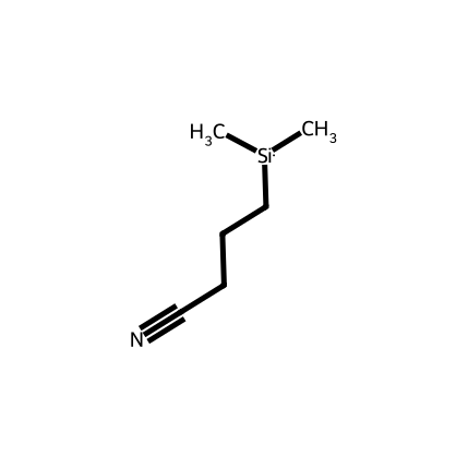 C[Si](C)CCCC#N